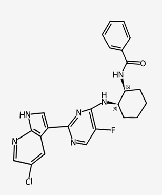 O=C(N[C@H]1CCCC[C@H]1Nc1nc(-c2c[nH]c3ncc(Cl)cc23)ncc1F)c1ccccc1